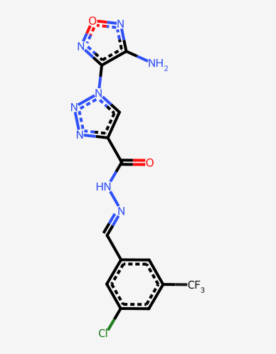 Nc1nonc1-n1cc(C(=O)NN=Cc2cc(Cl)cc(C(F)(F)F)c2)nn1